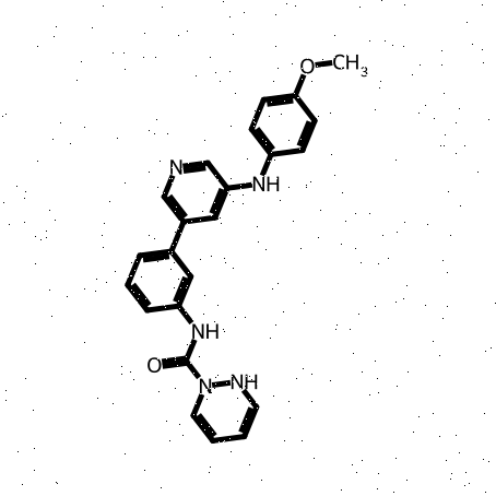 COc1ccc(Nc2cncc(-c3cccc(NC(=O)N4C=CC=CN4)c3)c2)cc1